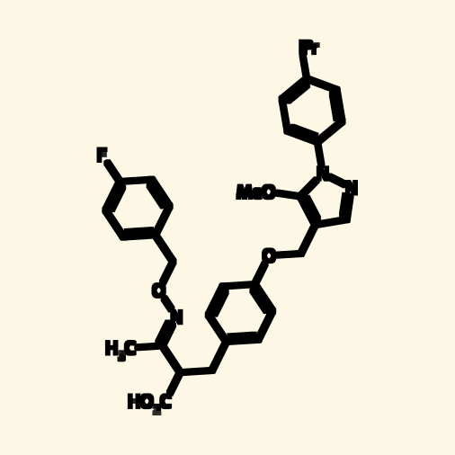 COc1c(COc2ccc(CC(C(=O)O)C(C)=NOCc3ccc(F)cc3)cc2)cnn1-c1ccc(C(C)C)cc1